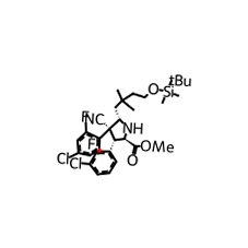 COC(=O)[C@@H]1N[C@@H](CC(C)(C)CCO[Si](C)(C)C(C)(C)C)[C@](C#N)(c2ccc(Cl)cc2F)[C@H]1c1cccc(Cl)c1F